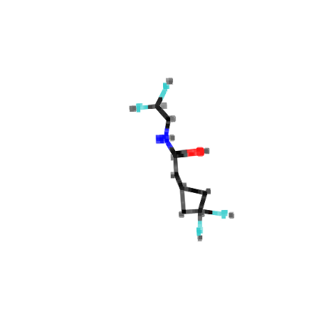 O=C(CC1CC(F)(F)C1)N[CH]C(F)F